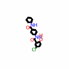 O=C(Nc1ccccc1)c1ccc(NC(=O)c2cc(Cl)ccc2O)cc1